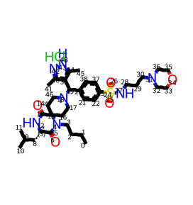 CCCCN1C(=O)[C@H](CC(C)C)NC(=O)C12CCN(C(c1ccc(S(=O)(=O)NCCCN3CCOCC3)cc1)c1c(C)n[nH]c1C)CC2.Cl